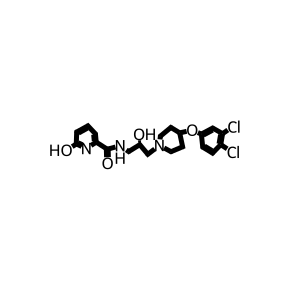 O=C(NC[C@@H](O)CN1CCC(Oc2ccc(Cl)c(Cl)c2)CC1)c1cccc(O)n1